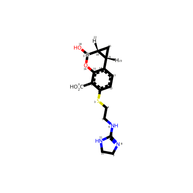 O=C(O)c1c(SCCNC2=NCCN2)ccc2c1OB(O)[C@@H]1C[C@H]21